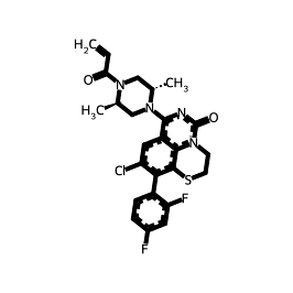 C=CC(=O)N1C[C@H](C)N(c2nc(=O)n3c4c(c(-c5ccc(F)cc5F)c(Cl)cc24)SCC3)C[C@H]1C